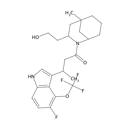 CC(CC(=O)N1C(CCO)CC2(C)CCCC1C2)c1c[nH]c2ccc(F)c(OC(F)(F)F)c12